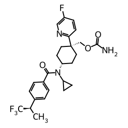 C[C@H](c1ccc(C(=O)N(C2CC2)[C@H]2CC[C@](COC(N)=O)(c3ccc(F)cn3)CC2)cc1)C(F)(F)F